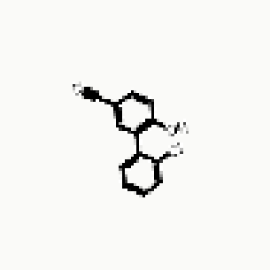 N#Cc1ccc(O)c(-c2ccccc2Cl)c1